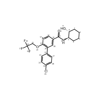 O=C(N[C@@H]1CCCC[C@H]1O)c1cnc(OCC(F)(F)F)c(-c2ccc(Cl)cc2)c1